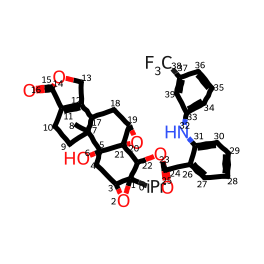 CC(C)C12OC1CC1(O)C3(C)CCC4=C(COC4=O)C3CC3OC31C2OC(=O)c1ccccc1Nc1cccc(C(F)(F)F)c1